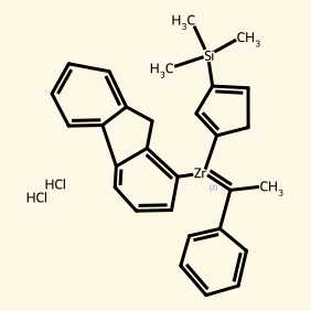 C/[C](c1ccccc1)=[Zr](\[C]1=CC([Si](C)(C)C)=CC1)[c]1cccc2c1Cc1ccccc1-2.Cl.Cl